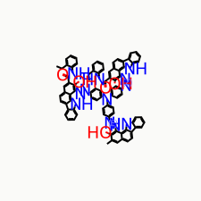 CCc1ccccc1NC(=O)c1cc2ccc3c4ccccc4[nH]c3c2c(N=Nc2ccc(N(c3ccc(/N=N\c4c(O)c(C(=O)Nc5ccccc5CC)cc5ccc6c7ccccc7[nH]c6c45)cc3)c3ccc(/N=N/c4c(O)c(C)cc5ccc6c7ccccc7[nH]c6c45)cc3)cc2)c1O